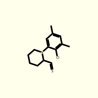 Cc1cc(C)c(Cl)c(N2CCCCC2C=S)c1